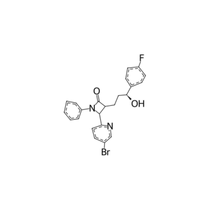 O=C1C(CC[C@H](O)c2ccc(F)cc2)C(c2ccc(Br)cn2)N1c1ccccc1